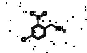 NCc1ccc(Cl)cc1[N+](=O)[O-]